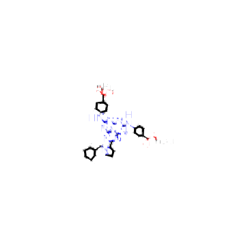 CCCCOC(=O)c1ccc(NC2=NC3=NC(Nc4ccc(C(=O)OCCCC)cc4)=NC4=NC(c5cccn5Cc5ccccc5)=NC(=N2)N34)cc1